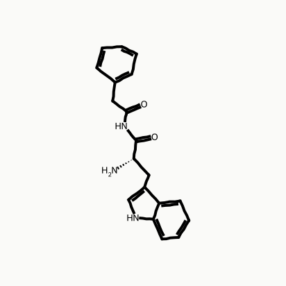 N[C@@H](Cc1c[nH]c2ccccc12)C(=O)NC(=O)Cc1ccccc1